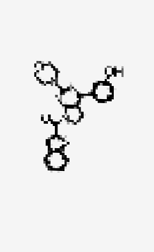 O=C(c1cc2ccccc2s1)N1CCc2c(-c3cccc(O)c3)nc(N3CCOCC3)nc21